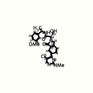 CNc1ncc(Cl)c(-c2ccc3c(c2)C(=O)N([C@H](CO)C(=O)N[C@H](C)c2cccc(OC)c2)C3)n1